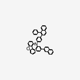 c1ccc(-c2c(-c3ccc(N(c4cccc(-c5ccc6ccccc6c5)c4)c4cccc5oc6ccccc6c45)cc3)ccc3ccccc23)cc1